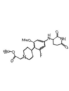 COc1cc(NC2CCC(=O)NC2=O)cc(F)c1C1CCN(CC(=O)OC(C)(C)C)CC1